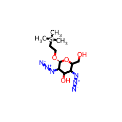 C[Si](C)(C)CCO[C@@H]1OC(CO)C(N=[N+]=[N-])C(O)C1N=[N+]=[N-]